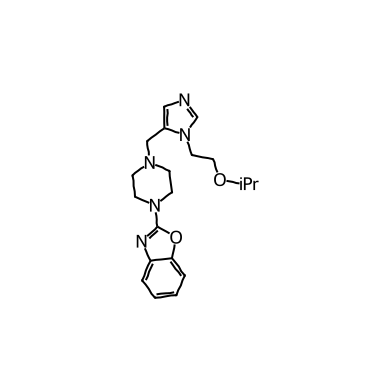 CC(C)OCCn1cncc1CN1CCN(c2nc3ccccc3o2)CC1